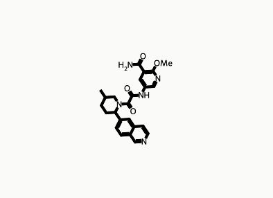 COc1ncc(NC(=O)C(=O)N2CC(C)CCC2c2ccc3cnccc3c2)cc1C(N)=O